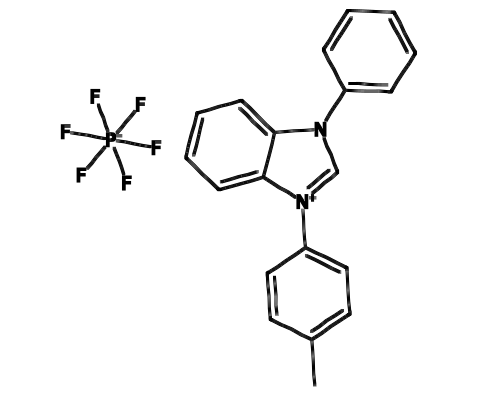 Cc1ccc(-[n+]2cn(-c3ccccc3)c3ccccc32)cc1.F[P-](F)(F)(F)(F)F